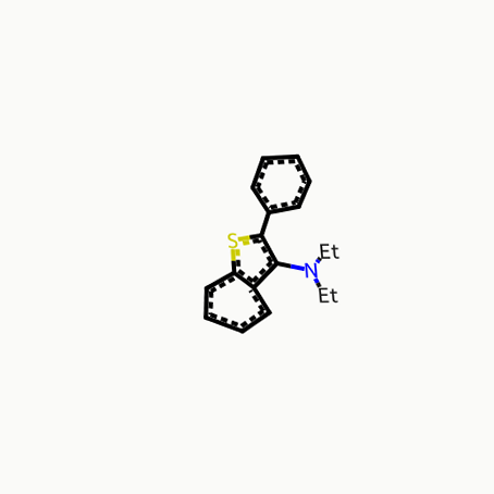 CCN(CC)c1c(-c2ccccc2)sc2ccccc12